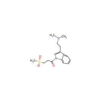 CN(C)CCc1cn(C(=O)CCS(C)(=O)=O)c2ccccc12